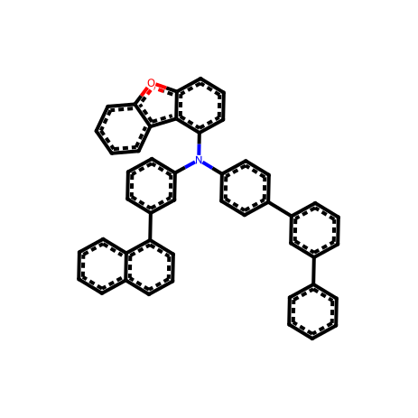 c1ccc(-c2cccc(-c3ccc(N(c4cccc(-c5cccc6ccccc56)c4)c4cccc5oc6ccccc6c45)cc3)c2)cc1